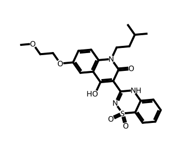 COCCOc1ccc2c(c1)c(O)c(C1=NS(=O)(=O)c3ccccc3N1)c(=O)n2CCC(C)C